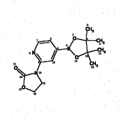 CC1(C)OB(c2ccnc(N3CCOC3=O)c2)OC1(C)C